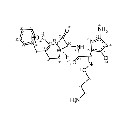 NCCCO/N=C(\C(=O)N[C@@H]1C(=O)N2C(C(=O)O)=C(C[n+]3ccccc3)CS[C@H]12)c1nc(N)sc1Cl